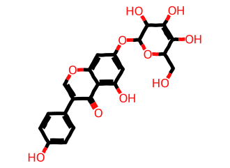 O=c1c(-c2ccc(O)cc2)coc2cc(OC3OC(CO)C(O)=C(O)C3O)cc(O)c12